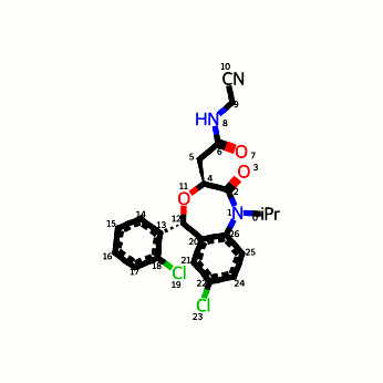 CC(C)N1C(=O)[C@H](CC(=O)NCC#N)O[C@@H](c2ccccc2Cl)c2cc(Cl)ccc21